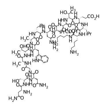 CC(C)C[C@@H](NC(=O)[C@@H](C)NC(=O)[C@@H](Cc1c[nH]c2ccccc12)NC(=O)[C@H](NC(=O)[C@@H](C)NC(=O)CNC(=O)[C@@H](CC(N)=O)NC(=O)[C@@H](CO)NC(=O)[C@H](N)CC(N)=O)[C@H](C)O)C(=O)N[C@H](CC(N)=O)C(=O)N[C@@H](C(=O)N[C@H](C)C(=O)N[C@@H](C(=O)N[C@H](CCC(=O)O)C(=O)N[C@H](CC(C)C)C(=O)N[C@H](CCCCN)C(=O)N[C@H](CCCCN)C(=O)O)[C@H](C)O)C(C)C